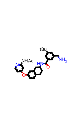 CC(=O)Nc1cc(Oc2ccc3c(c2)CC(NC(=O)c2cc(CN)cc(C(C)(C)C)c2)CC3)ccn1